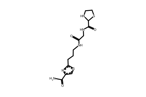 NC(=O)c1csc(CCCNC(=O)CNC(=O)C2NCCS2)n1